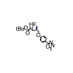 Cc1nnc(-c2ccc(OC/C(=C/F)CNC(=O)OC(C)(C)C)cc2)o1